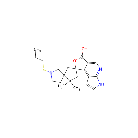 CCCSN1CCC2(C1)CC1(CC2(C)C)OB(O)c2cnc3[nH]ccc3c21